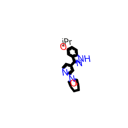 CC(C)Oc1ccc2[nH]nc(-c3ccnc(N4CC5CCC(C4)O5)c3)c2c1